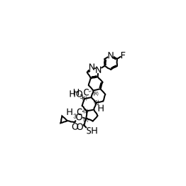 C[C@]12Cc3cnn(-c4ccc(F)nc4)c3C=C1CC[C@@H]1C2[C@@H](O)C[C@@]2(C)C1CC[C@]2(OC(=O)C1CC1)C(=O)S